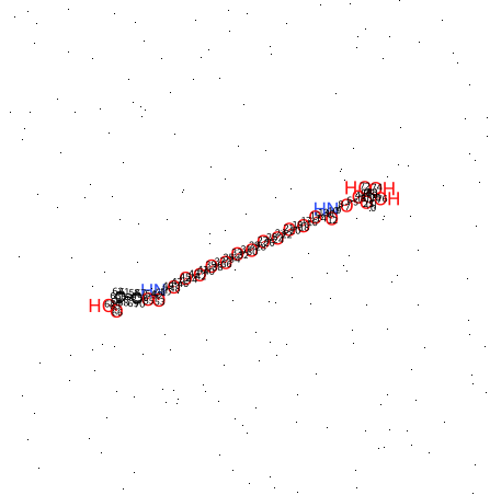 C[C@@H]1O[C@@H](OCCOCCNC(=O)CCOCCOCCOCCOCCOCCOCCOCCOCCOCCOCCOCCOCCNC(=O)COc2ccc(-c3cccc(C(=O)O)c3)cc2)[C@H](O)[C@H](O)[C@H]1O